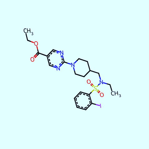 CCOC(=O)c1cnc(N2CCC(CN(CC)S(=O)(=O)c3ccccc3I)CC2)nc1